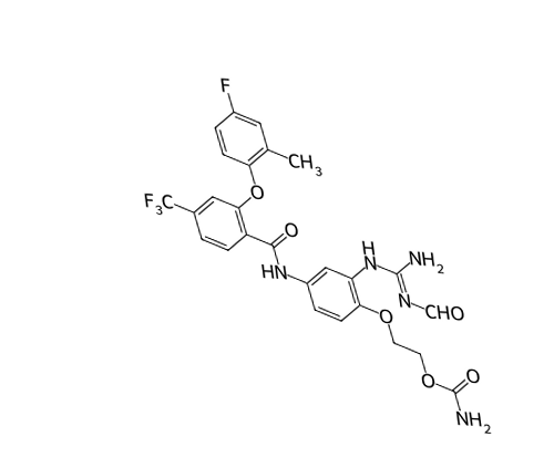 Cc1cc(F)ccc1Oc1cc(C(F)(F)F)ccc1C(=O)Nc1ccc(OCCOC(N)=O)c(NC(N)=NC=O)c1